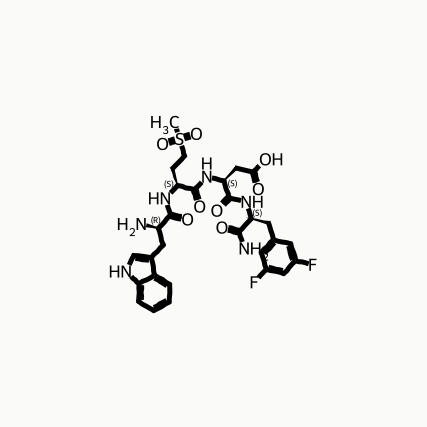 CS(=O)(=O)CC[C@H](NC(=O)[C@H](N)Cc1c[nH]c2ccccc12)C(=O)N[C@@H](CC(=O)O)C(=O)N[C@@H](Cc1cc(F)cc(F)c1)C(N)=O